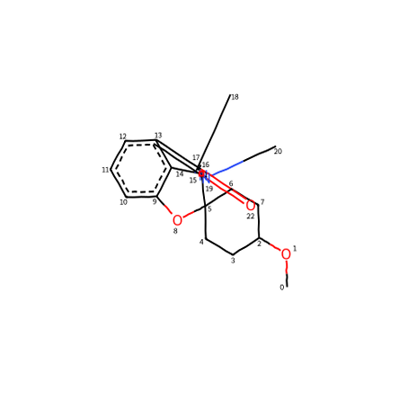 COC1CCC2(CC1)Oc1ccccc1C21N=C(C)N(C)C1=O